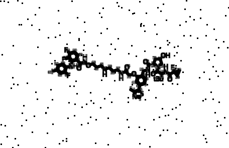 Cc1ncsc1-c1ccc(CNC(=O)[C@@H]2C[C@@H](O)CN2C(=O)[C@@H](NC(=O)C2(F)CC2)C(C)(C)C)c(OCC(=O)NCCCNCCCONC(=O)c2ccc(F)c(F)c2Nc2ccc(I)cc2F)c1